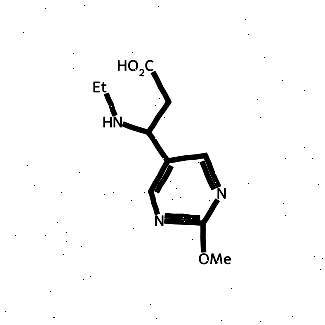 CCNC(CC(=O)O)c1cnc(OC)nc1